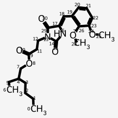 CCCCC(CC)COC(=O)CCN1C(=O)NC(=Cc2cccc(OC)c2OC)C1=O